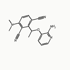 CC(Oc1cccnc1N)c1c(C#N)ccc(N(C)C)c1C#N